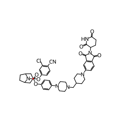 N#Cc1ccc(OC2CC3CCC(C2)N3C(=O)Oc2ccc(N3CCN(CC4CCN(c5ccc6c(c5)C(=O)N(C5CCC(=O)NC5=O)C6=O)CC4)CC3)cc2)cc1Cl